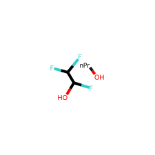 CCCO.OC(F)C(F)F